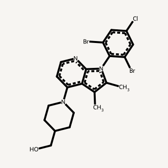 Cc1c(C)n(-c2c(Br)cc(Cl)cc2Br)c2nccc(N3CCC(CO)CC3)c12